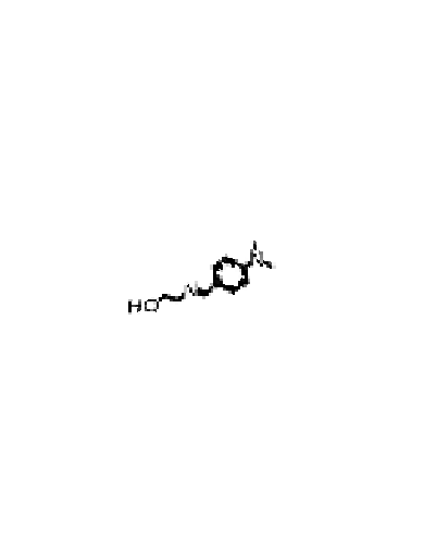 CN(C)c1ccc(C=NCCO)cc1